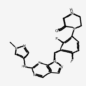 Cn1cc(Nc2ncc3cnn(Cc4c(F)ccc(N5CCNCC5=O)c4F)c3n2)cn1